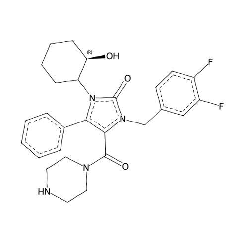 O=C(c1c(-c2ccccc2)n(C2CCCC[C@H]2O)c(=O)n1Cc1ccc(F)c(F)c1)N1CCNCC1